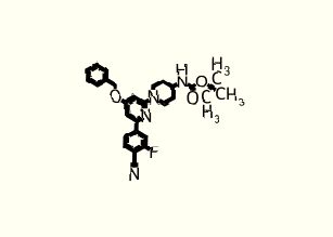 CC(C)(C)OC(=O)NC1CCN(c2cc(OCc3ccccc3)cc(-c3ccc(C#N)c(F)c3)n2)CC1